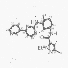 CCn1nc(C)cc1C(=O)Nc1ccc(C)c(Nc2nccc(-c3cccnc3)n2)c1